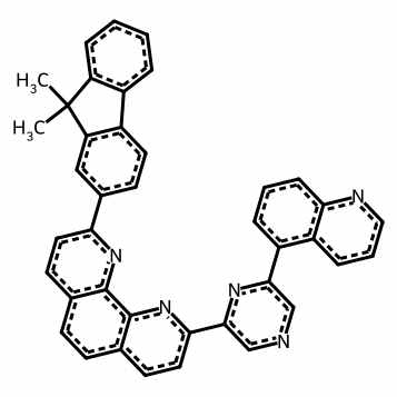 CC1(C)c2ccccc2-c2ccc(-c3ccc4ccc5ccc(-c6cncc(-c7cccc8ncccc78)n6)nc5c4n3)cc21